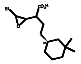 CCC1OC1C(CC[C@H]1CCCC(C)(C)C1)C(=O)O